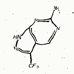 Nc1ncc2c(C(F)(F)F)n[nH]c2n1